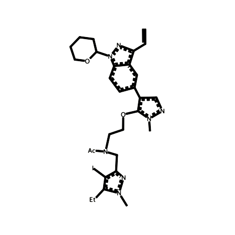 C=Cc1nn(C2CCCCO2)c2ccc(-c3cnn(C)c3OCCN(Cc3nn(C)c(CC)c3I)C(C)=O)cc12